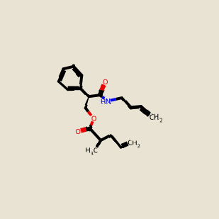 C=CCCNC(=O)[C@@H](COC(=O)C(C)CC=C)c1ccccc1